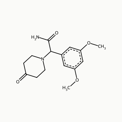 COc1cc(OC)cc(C(C(N)=O)N2CCC(=O)CC2)c1